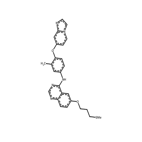 CSCCCOc1ccc2ncnc(Nc3ccc(Oc4ccn5ccnc5c4)c(C)c3)c2c1